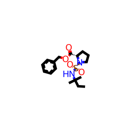 CCC(C)(C)NS(=O)(=O)N1CCC[C@H]1C(=O)OCc1ccccc1